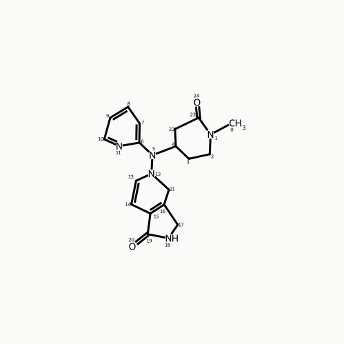 CN1CCC(N(c2ccccn2)N2C=CC3=C(CNC3=O)C2)CC1=O